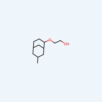 CC1CC2CCC(OCCO)C(C1)C2